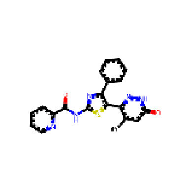 CC(C)c1cc(=O)[nH]nc1-c1sc(NC(=O)c2ccccn2)nc1-c1ccccc1